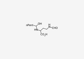 [CH2]CCCCC(O)NC(CCNC=O)C(=O)O